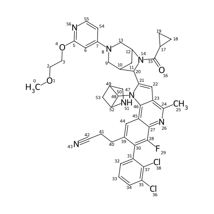 COCCOc1cc(N2CC3CC(C2)N(C(=O)C2CC2)C3c2cc3c(C)nc4c(F)c(-c5cccc(Cl)c5Cl)c(CCC#N)cc4c3n2C2C3CNC2C3)ccn1